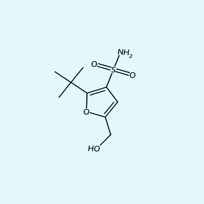 CC(C)(C)c1oc(CO)cc1S(N)(=O)=O